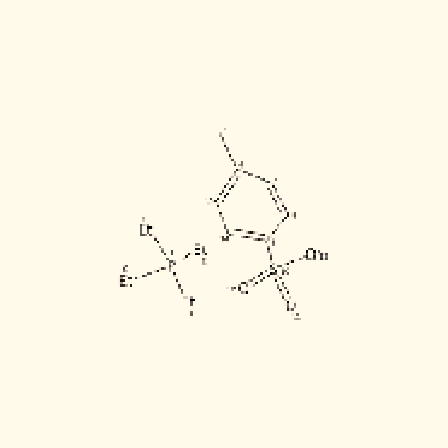 CC[P+](CC)(CC)CC.Cc1ccc(S(=O)(=O)[O-])cc1